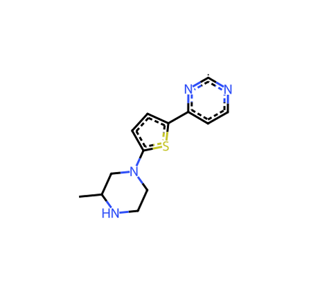 CC1CN(c2ccc(-c3ccn[c]n3)s2)CCN1